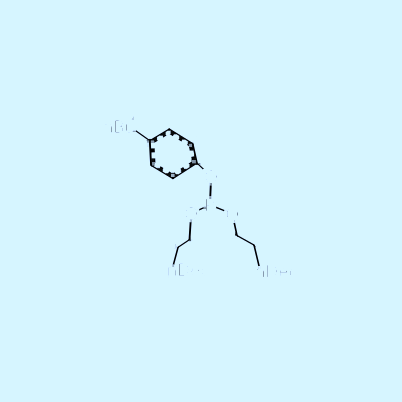 CCCCCCCCCCCCOP(OCCCCCCCCCCCC)Oc1ccc(CCCC)cc1